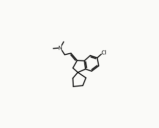 CN(C)CC=C1CC2(CCCC2)c2ccc(Cl)cc21